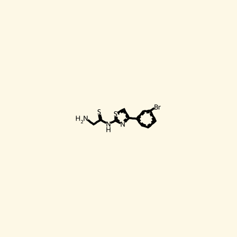 NCC(=S)Nc1nc(-c2cccc(Br)c2)cs1